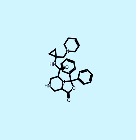 O=C(NC1(CN2CC=CCC2)CC1)C1CNCC2C(=O)OC(c3ccccc3)(c3ccccc3)N12